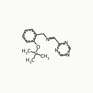 C[Si](C)(C)Oc1ccccc1CN=Cc1ncncn1